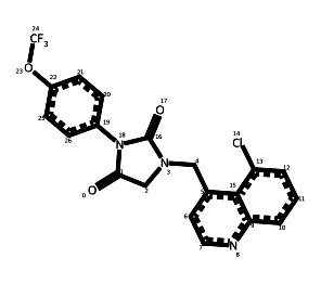 O=C1CN(Cc2ccnc3cccc(Cl)c23)C(=O)N1c1ccc(OC(F)(F)F)cc1